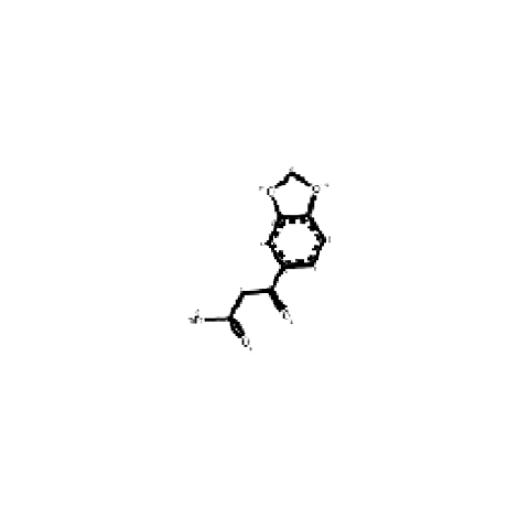 CCCC(=O)CC(=O)c1ccc2c(c1)OCO2